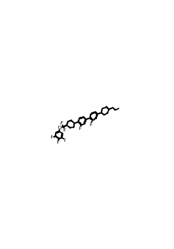 CCCC1CCC(c2ccc(-c3ccc(C4CCC(C(F)(F)Oc5cc(F)c(F)c(F)c5)CC4)c(F)c3)c(F)c2)CC1